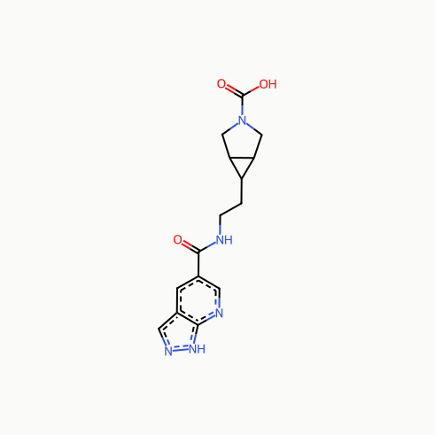 O=C(NCCC1C2CN(C(=O)O)CC12)c1cnc2[nH]ncc2c1